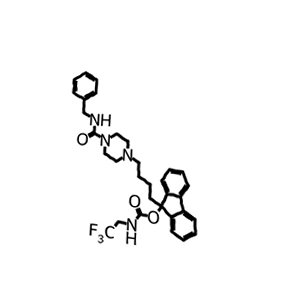 O=C(NCC(F)(F)F)OC1(CCCCN2CCN(C(=O)NCc3ccccc3)CC2)c2ccccc2-c2ccccc21